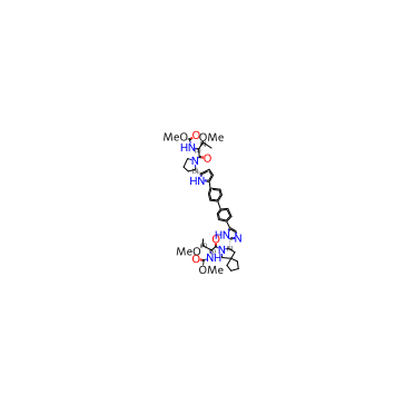 COC(=O)N[C@H](C(=O)N1CCC[C@H]1c1ccc(-c2ccc(-c3ccc(-c4cnc([C@@H]5CC6(CCCC6)CN5C(=O)[C@@H](NC(=O)OC)[C@@H](C)OC)[nH]4)cc3)cc2)[nH]1)[C@@H](C)OC